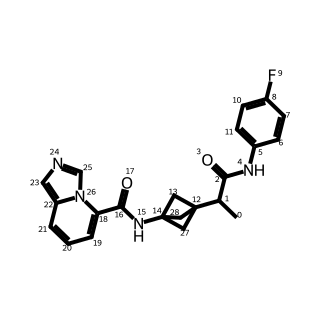 CC(C(=O)Nc1ccc(F)cc1)C12CC(NC(=O)c3cccc4cncn34)(C1)C2